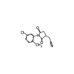 Cc1ccc(Cl)cc1N1C(=O)CC(CC#N)C1=O